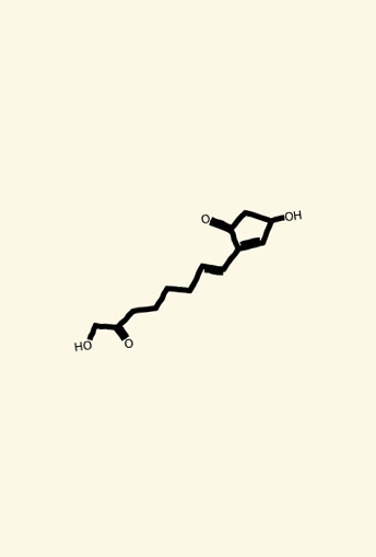 O=C(CO)CCCCC=CC1=CC(O)CC1=O